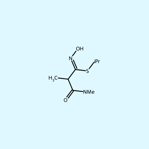 CNC(=O)C(C)C(=NO)SC(C)C